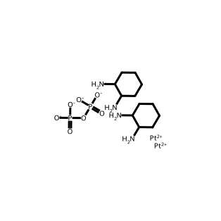 NC1CCCCC1N.NC1CCCCC1N.O=P([O-])([O-])OP(=O)([O-])[O-].[Pt+2].[Pt+2]